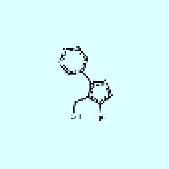 OCc1c(Br)cnn1-c1ccnnc1